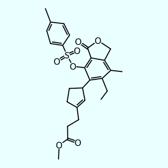 CCc1c(C)c2c(c(OS(=O)(=O)c3ccc(C)cc3)c1C1C=C(CCC(=O)OC)CC1)C(=O)OC2